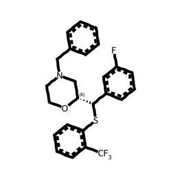 Fc1cccc(C(Sc2ccccc2C(F)(F)F)[C@H]2CN(Cc3ccccc3)CCO2)c1